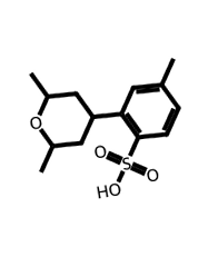 Cc1ccc(S(=O)(=O)O)c(C2CC(C)OC(C)C2)c1